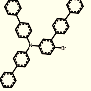 Brc1ccc(N(c2ccc(-c3ccccc3)cc2)c2ccc(-c3ccccc3)cc2)cc1-c1ccc(-c2ccccc2)cc1